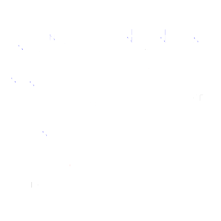 CC1CN(Cc2c(CO)c(-c3ccc(NC(=O)Nc4cc(C(F)(F)F)ccn4)cc3)c3c(N)ncnn23)CC(C)O1